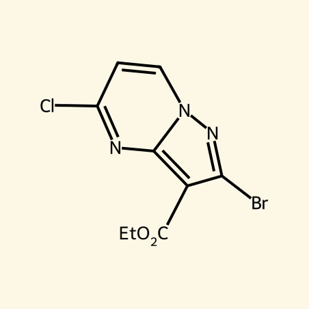 CCOC(=O)c1c(Br)nn2ccc(Cl)nc12